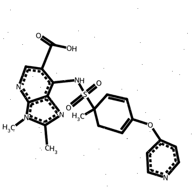 Cc1nc2c(NS(=O)(=O)C3(C)C=CC(Oc4ccncc4)=CC3)c(C(=O)O)cnc2n1C